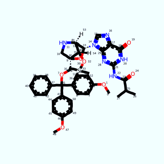 COc1ccc(C(OC[C@@]23CN[C@@H]([C@H](n4cnc5c(=O)[nH]c(NC(=O)C(C)C)nc54)O2)[C@@H]3O[Si](C)(C)C)(c2ccccc2)c2ccc(OC)cc2)cc1